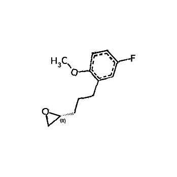 COc1ccc(F)cc1CCC[C@@H]1CO1